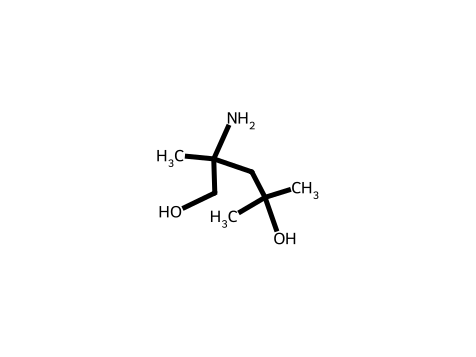 CC(C)(O)CC(C)(N)CO